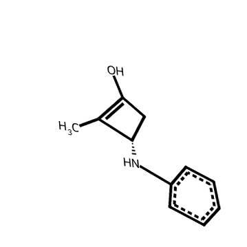 CC1=C(O)C[C@@H]1Nc1ccccc1